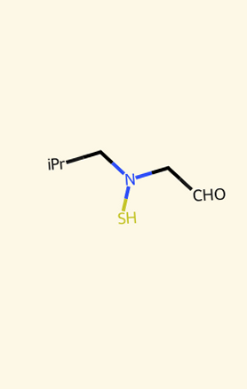 CC(C)CN(S)CC=O